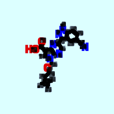 Cn1nc(-c2cnc3c(n2)c(C(=O)O)cn3COCC[Si](C)(C)C)c2cc(C#N)ccc21